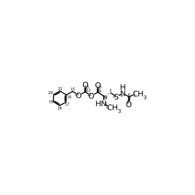 CN[C@@H](CSNC(C)=O)C(=O)OC(=O)OCc1ccccc1